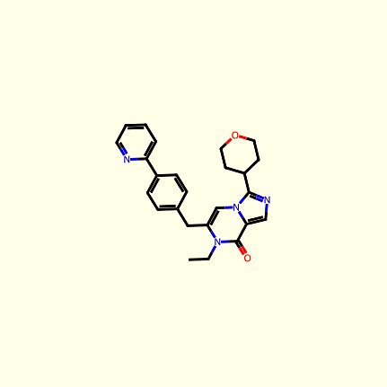 CCn1c(Cc2ccc(-c3ccccn3)cc2)cn2c(C3CCOCC3)ncc2c1=O